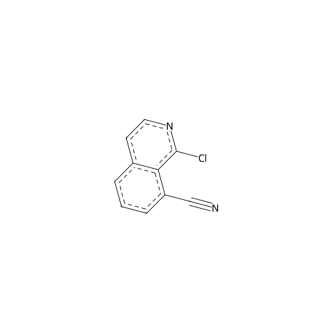 N#Cc1cccc2ccnc(Cl)c12